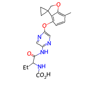 CCC(NC(=O)O)C(=O)Nc1cnc(Oc2ccc(C)c3c2C2(CC2)CO3)cn1